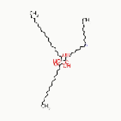 CCCCCCCC/C=C\CCCCCCCC(=O)C(O)(C(O)CCCCCCCCCCCCCCCCCC)C(O)C(=O)CCCCCCCCCCCCCCC